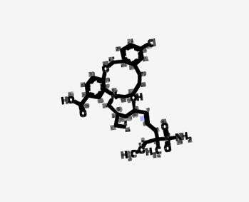 COCC(C)(C/C=C/[C@H](O)[C@@H]1CC[C@H]1CN1CCCCc2cc(Cl)ccc2COc2ccc(C(=O)O)cc21)S(N)(=O)=O